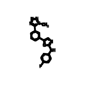 Cn1nnnc1-c1cccc(-c2cnc(Nc3ccc(F)cc3)o2)c1